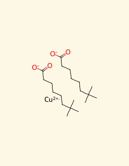 CC(C)(C)CCCCCC(=O)[O-].CC(C)(C)CCCCCC(=O)[O-].[Cu+2]